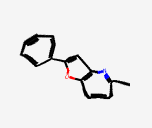 Cc1ccc2oc(-c3ccccc3)cc2n1